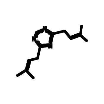 CC(C)=CCc1ncnc(CC=C(C)C)n1